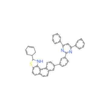 C1=CCC(C2Nc3c(ccc4ccc5cc(-c6cccc(-c7nc(-c8ccccc8)cc(-c8ccccc8)n7)c6)ccc5c34)S2)C=C1